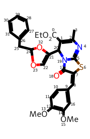 CCOC(=O)C1=C(C)N=c2sc(=Cc3ccc(OC)c(OC)c3)c(=O)n2C1C1=COC(Cc2ccccc2)O1